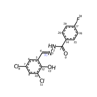 O=C(N/N=C/c1cc(Cl)cc(Cl)c1O)c1ccc(F)cc1